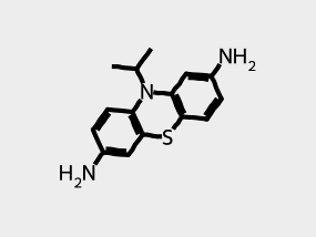 CC(C)N1c2ccc(N)cc2Sc2ccc(N)cc21